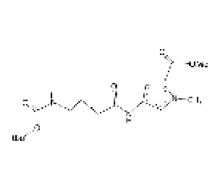 COC(=O)c1cc(NC(=O)CCCNC(=O)OC(C)(C)C)cn1C